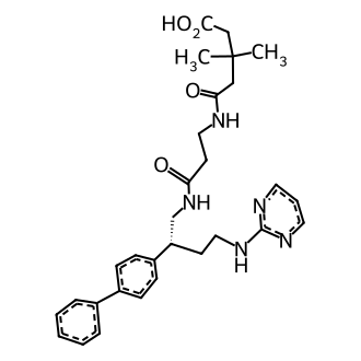 CC(C)(CC(=O)O)CC(=O)NCCC(=O)NC[C@H](CCNc1ncccn1)c1ccc(-c2ccccc2)cc1